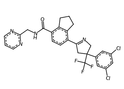 O=C(NCc1ncccn1)c1ccc(C2=NCC(c3cc(Cl)cc(Cl)c3)(C(F)(F)F)C2)c2c1CCC2